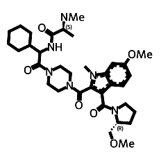 CN[C@@H](C)C(=O)NC(C(=O)N1CCN(C(=O)c2c(C(=O)N3CCC[C@@H]3COC)c3ccc(OC)cc3n2C)CC1)C1CCCCC1